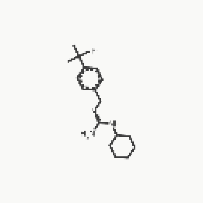 CC(C)C(C)(C)c1ccc(CN=C(N)NC2CCCCC2)cc1